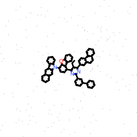 CCc1c(-c2ccc3c(ccc4ccccc43)c2)nc(-c2cccc(-c3ccccc3)c2)nc1-c1ccc(-n2c3ccccc3c3cc4ccccc4cc32)c2oc3ccccc3c12